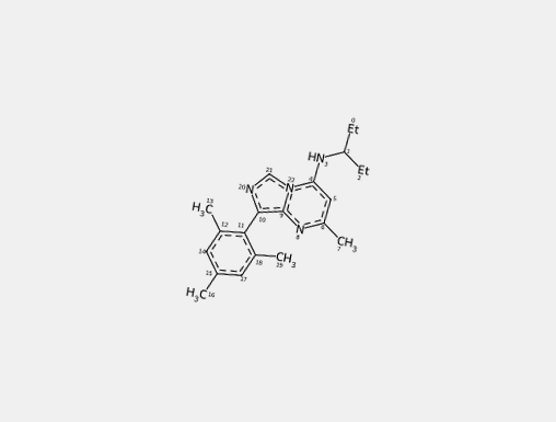 CCC(CC)Nc1cc(C)nc2c(-c3c(C)cc(C)cc3C)ncn12